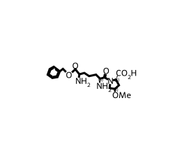 CO[C@@H]1C[C@@H](C(=O)O)N(C(=O)[C@@H](N)CCCC(N)C(=O)OCc2ccccc2)C1